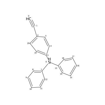 C#Cc1ccc([SiH](c2ccccc2)c2ccccc2)cc1